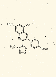 COc1ccc(-c2cc3c(C(C)=O)cc(C)cc3nc2-c2conc2C)cc1